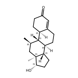 C[C@@H]1C[C@]2(C)[C@@H](O)CC[C@H]2[C@@H]2CCC3=CC(=O)CC[C@@H]3[C@H]21